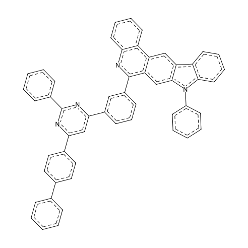 c1ccc(-c2ccc(-c3cc(-c4cccc(-c5nc6ccccc6c6cc7c8ccccc8n(-c8ccccc8)c7cc56)c4)nc(-c4ccccc4)n3)cc2)cc1